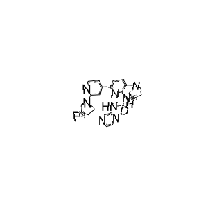 O=C(Nc1cnccn1)N1c2nc(-c3ccnc(N4CC[C@H](F)C4)c3)ccc2N2CC[C@H]1C2